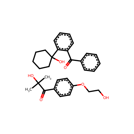 CC(C)(O)C(=O)c1ccc(OCCO)cc1.O=C(c1ccccc1)c1ccccc1C1(O)CCCCC1